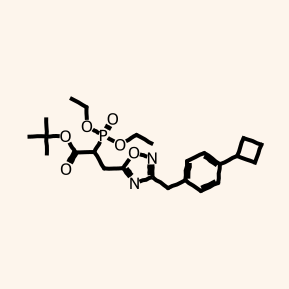 CCOP(=O)(OCC)C(Cc1nc(Cc2ccc(C3CCC3)cc2)no1)C(=O)OC(C)(C)C